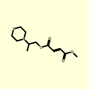 COC(=O)C=CC(=O)OCC(C)N1CCSCC1